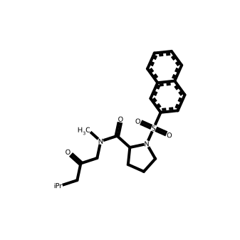 CC(C)CC(=O)CN(C)C(=O)C1CCCN1S(=O)(=O)c1ccc2ccccc2c1